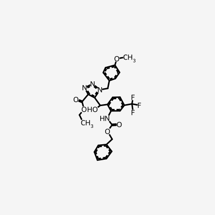 CCOC(=O)c1nnn(Cc2ccc(OC)cc2)c1C(O)c1ccc(C(F)(F)F)cc1NC(=O)OCc1ccccc1